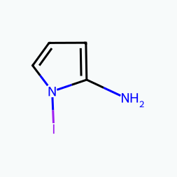 Nc1cccn1I